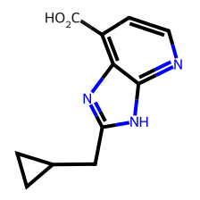 O=C(O)c1ccnc2[nH]c(CC3CC3)nc12